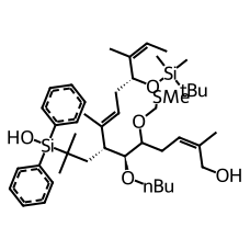 C/C=C(/C)[C@@H](C/C=C(\C)[C@@H](CC(C)(C)[Si](O)(c1ccccc1)c1ccccc1)[C@H](OCCCC)C(C/C=C(/C)CO)OCSC)O[Si](C)(C)C(C)(C)C